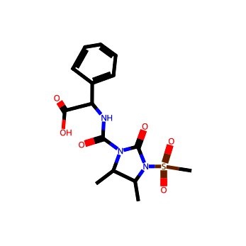 CC1C(C)N(S(C)(=O)=O)C(=O)N1C(=O)NC(C(=O)O)c1ccccc1